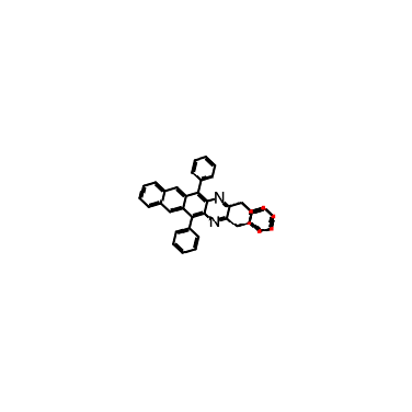 c1ccc(-c2c3cc4ccccc4cc3c(-c3ccccc3)c3nc4c(nc23)C2c3ccccc3C4c3ccccc32)cc1